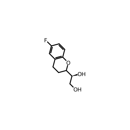 OC[C@H](O)C1CCc2cc(F)ccc2O1